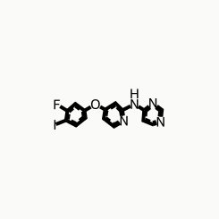 Fc1cc(Oc2ccnc(Nc3ccncn3)c2)ccc1I